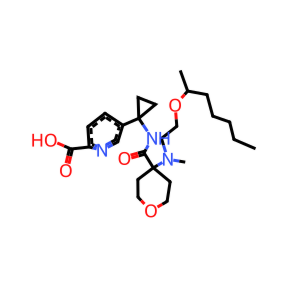 CCCCCC(C)OCCN(C)C1(C(=O)NC2(c3ccc(C(=O)O)nc3)CC2)CCOCC1